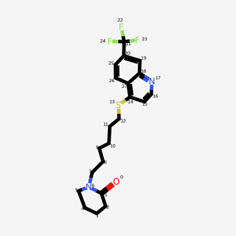 O=C1CCCCN1CCCCCCSc1ccnc2cc(C(F)(F)F)ccc12